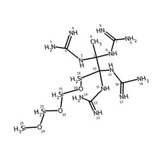 CC(NC(=N)N)(NC(=N)N)C(NC(=N)N)(NC(=N)N)[SiH2]O[SiH2]O[SiH2]O[SiH3]